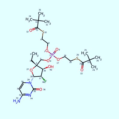 CC[C@]1(COP(=O)(OCCSC(=O)C(C)(C)C)OCCSC(=O)C(C)(C)C)O[C@@H](n2ccc(N)nc2=O)[C@H](F)[C@@H]1O